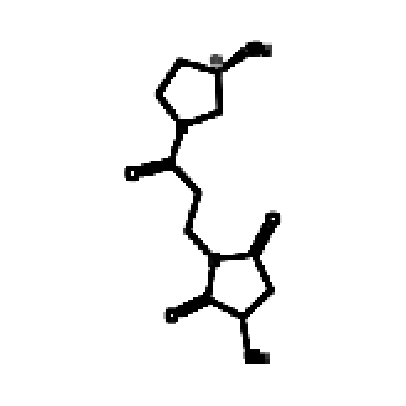 CC(C)(C)C1CC(=O)N(CCC(=O)N2CC[C@@H](C(C)(C)C)C2)C1=O